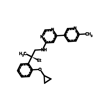 CC[C@](C)(CNc1cc(-c2ccc(C)nc2)ncn1)c1ccccc1OC1CC1